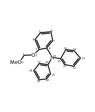 COCOc1ccccc1N(c1ccccc1)c1ccccc1